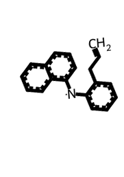 C=CCc1ccccc1[N]c1cccc2ccccc12